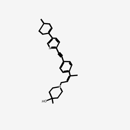 CC(=CCN1CCC(C)(O)CC1)c1ccc(C#Cc2ccc(C3=CCC(C)CC3)cn2)cc1